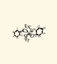 CCO[Si](OCC)(Oc1ccccc1)Oc1ccccc1